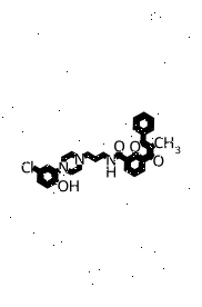 Cc1c(-c2ccccc2)oc2c(C(=O)NCCCN3CCN(c4cc(Cl)ccc4O)CC3)cccc2c1=O